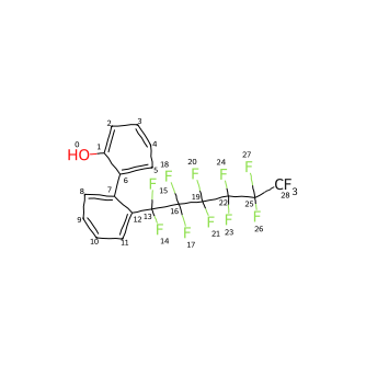 Oc1ccccc1-c1ccccc1C(F)(F)C(F)(F)C(F)(F)C(F)(F)C(F)(F)C(F)(F)F